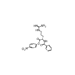 N=C(N)NCCCC(NC(=O)c1ccccc1)C(=O)Oc1ccc([N+](=O)[O-])cc1